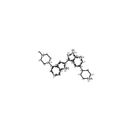 CN1CCN(c2cncc3[nH]c(-c4n[nH]c5ncc(C6CCNCC6)cc45)cc23)CC1